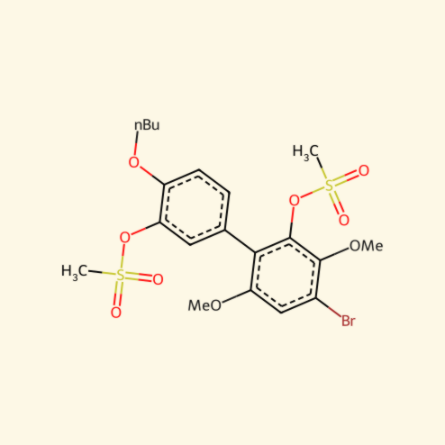 CCCCOc1ccc(-c2c(OC)cc(Br)c(OC)c2OS(C)(=O)=O)cc1OS(C)(=O)=O